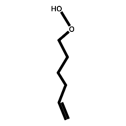 C=CCCCCOO